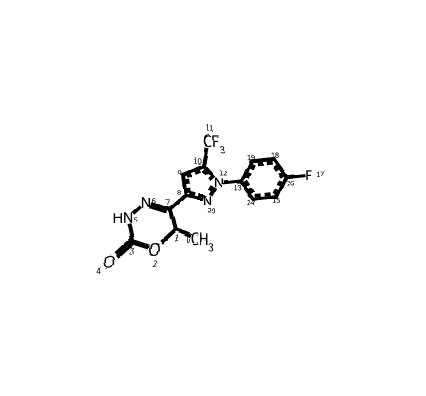 CC1OC(=O)NN=C1c1cc(C(F)(F)F)n(-c2ccc(F)cc2)n1